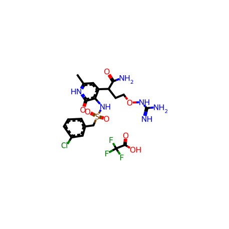 Cc1cc(C(CCONC(=N)N)C(N)=O)c(NS(=O)(=O)Cc2cccc(Cl)c2)c(=O)[nH]1.O=C(O)C(F)(F)F